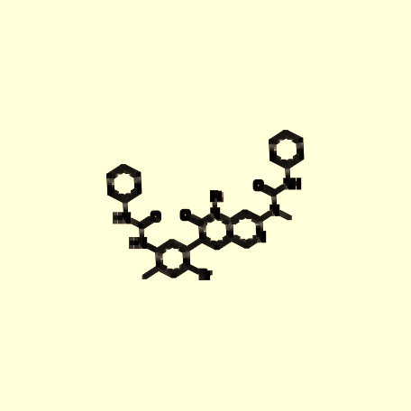 CCn1c(=O)c(-c2cc(NC(=O)Nc3ccccc3)c(C)cc2Br)cc2cnc(N(C)C(=O)Nc3ccccc3)cc21